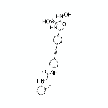 C=C(N[C@H](C(=O)NO)[C@@H](C)O)c1ccc(C#Cc2ccc(NC(=O)CNc3ccccc3F)cc2)cc1